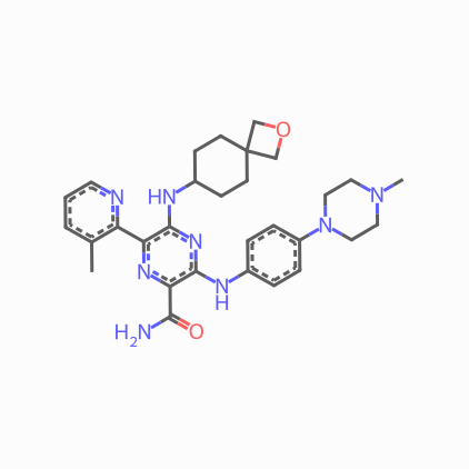 Cc1cccnc1-c1nc(C(N)=O)c(Nc2ccc(N3CCN(C)CC3)cc2)nc1NC1CCC2(CC1)COC2